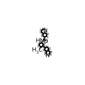 Cc1ccc(NC(=O)c2ccc3ncccc3c2)cc1-c1ccc2ccncc2c1